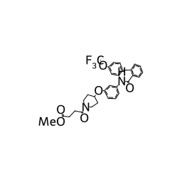 COC(=O)CCC(=O)N1CCC(Oc2cccc(NC(=O)c3ccccc3-c3ccc(OC(F)(F)F)cc3)c2)CC1